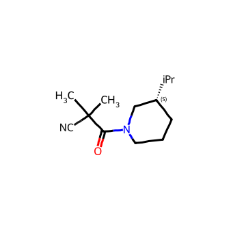 CC(C)[C@@H]1CCCN(C(=O)C(C)(C)C#N)C1